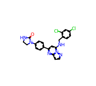 O=C1NCCN1c1ccc(-c2cc(NCc3ccc(Cl)cc3Cl)n3nccc3n2)cc1